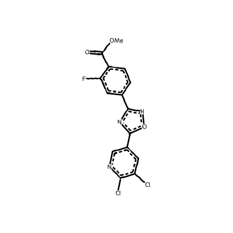 COC(=O)c1ccc(-c2noc(-c3cnc(Cl)c(Cl)c3)n2)cc1F